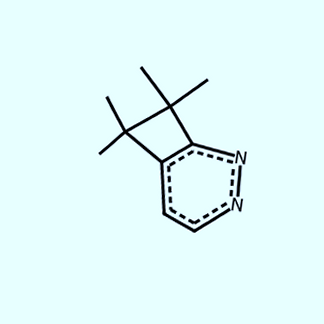 CC1(C)c2ccnnc2C1(C)C